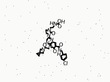 O=C(O)NCCN1CCN(c2cnc3c(cc(C(=O)NCc4ccc(Cl)cc4)c(=O)n3CC(=O)N3CC4(CC4)C3)n2)C1=O